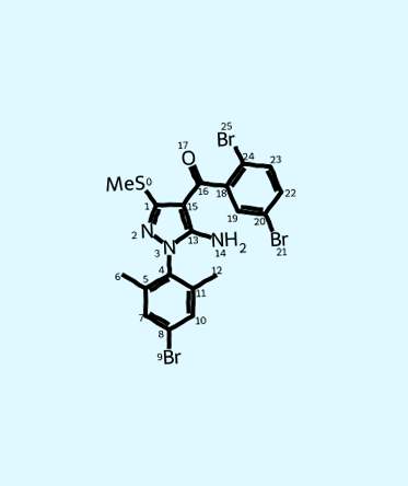 CSc1nn(-c2c(C)cc(Br)cc2C)c(N)c1C(=O)c1cc(Br)ccc1Br